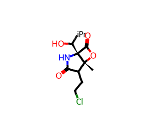 CC(C)C(O)[C@]12NC(=O)C(CCCl)[C@@]1(C)OC2=O